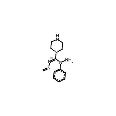 C=N/N=C(/N1CCNCC1)N(N)c1ccccc1